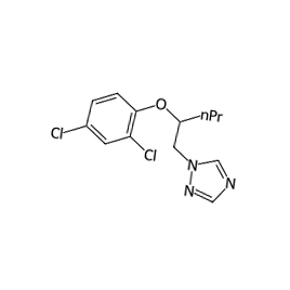 CCCC(Cn1cncn1)Oc1ccc(Cl)cc1Cl